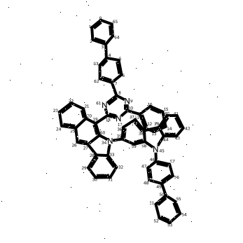 c1ccc(-c2ccc(-c3nc(-c4ccccc4)nc(-c4c5ccccc5cc5c6ccccc6n(-c6ccc7c8ccccc8n(-c8ccc(-c9ccccc9)cc8)c7c6)c45)n3)cc2)cc1